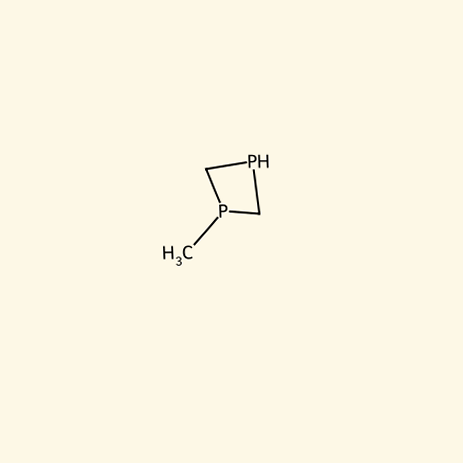 CP1CPC1